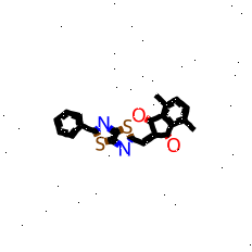 Cc1ccc(C)c2c1C(=O)C(=Cc1nc3sc(-c4ccccc4)nc3s1)C2=O